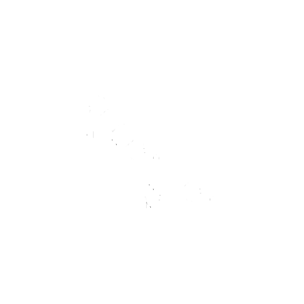 O=C(Nc1ccc(OC(CCc2ccc(Cl)cc2)Cn2ccnc2)cc1)C(Cl)c1ccccc1